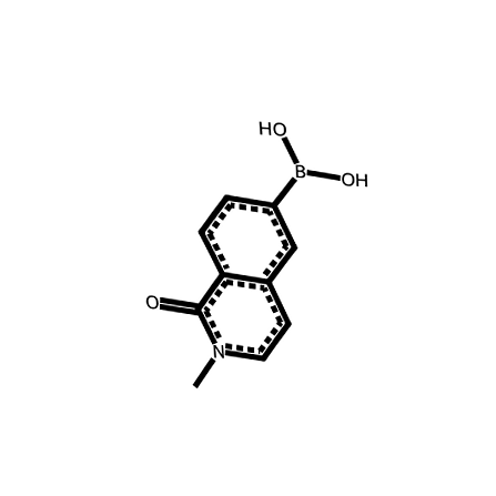 Cn1ccc2cc(B(O)O)ccc2c1=O